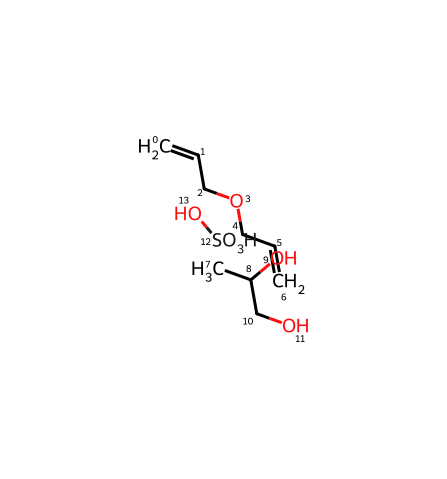 C=CCOCC=C.CC(O)CO.O=S(=O)(O)O